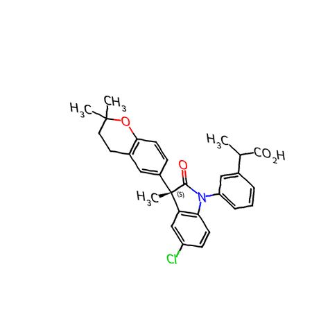 CC(C(=O)O)c1cccc(N2C(=O)[C@@](C)(c3ccc4c(c3)CCC(C)(C)O4)c3cc(Cl)ccc32)c1